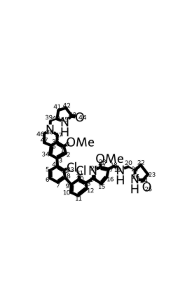 COc1cc(-c2cccc(-c3cccc(-c4ccc(CNC[C@H]5CCC(=O)N5)c(OC)n4)c3Cl)c2Cl)cc2c1CN(C[C@H]1CCC(=O)N1)CC2